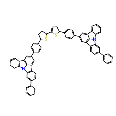 C1=Cc2c(n3c4cc(-c5ccccc5)ccc4c4cc(-c5ccc(C6CCC(C7=CCC(c8ccc(-c9cc%10c%11ccccc%11n%11c%12cc(-c%13ccccc%13)ccc%12c(c9)c%10%11)cc8)S7)S6)cc5)cc2c43)CC1